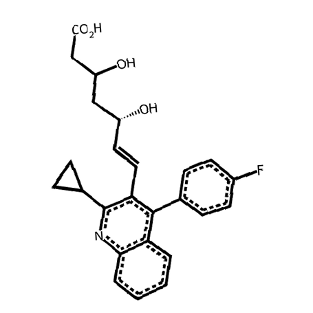 O=C(O)CC(O)C[C@H](O)C=Cc1c(C2CC2)nc2ccccc2c1-c1ccc(F)cc1